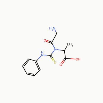 CC(C(=O)O)N(C(=O)CN)C(=S)Nc1ccccc1